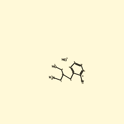 Cl.NCC(CO)Cc1ccccc1Br